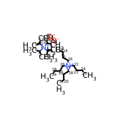 CC(C)[N+](C(C)C)(C(C)C)C(C)C.CCCC[N+](CCCC)(CCCC)CCCC.[O-][O-]